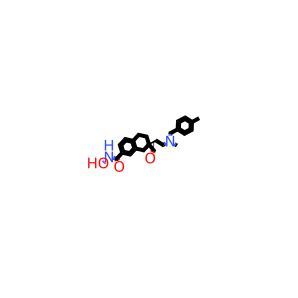 Cc1ccc(CN(C)CC[C@]2(C=O)CCc3ccc(C(=O)NO)cc3C2)cc1